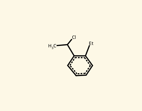 CCc1ccccc1C(C)Cl